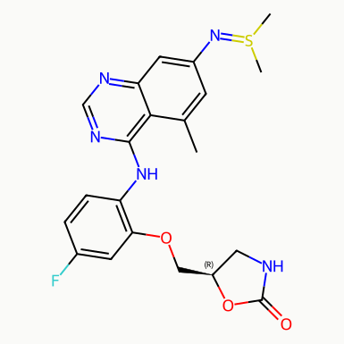 Cc1cc(N=S(C)C)cc2ncnc(Nc3ccc(F)cc3OC[C@H]3CNC(=O)O3)c12